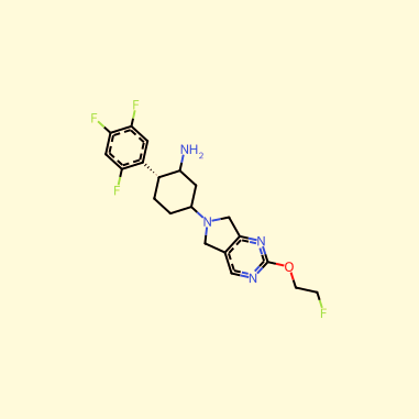 NC1CC(N2Cc3cnc(OCCF)nc3C2)CC[C@@H]1c1cc(F)c(F)cc1F